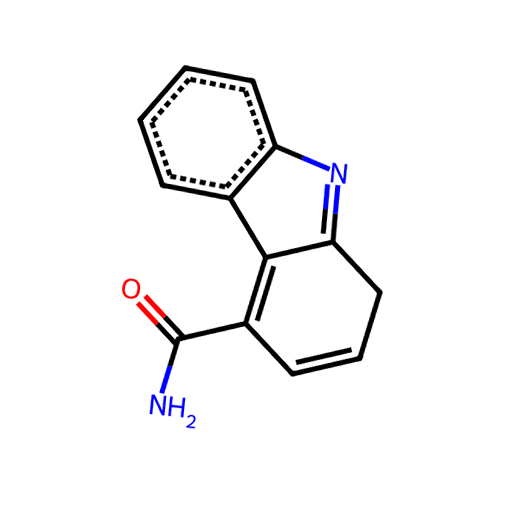 NC(=O)C1=C2C(=Nc3ccccc32)CC=C1